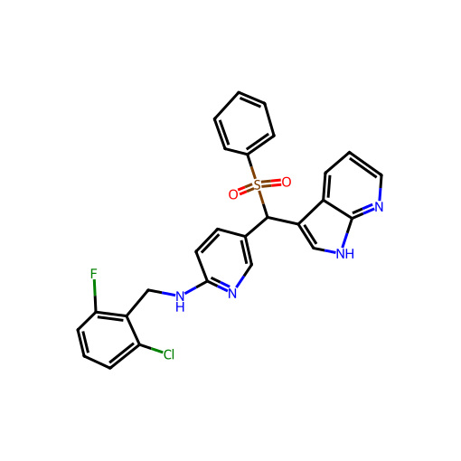 O=S(=O)(c1ccccc1)C(c1ccc(NCc2c(F)cccc2Cl)nc1)c1c[nH]c2ncccc12